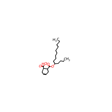 CCCCCCCCCC(CCCC)OC(=O)C1CC=CCC1C(=O)O